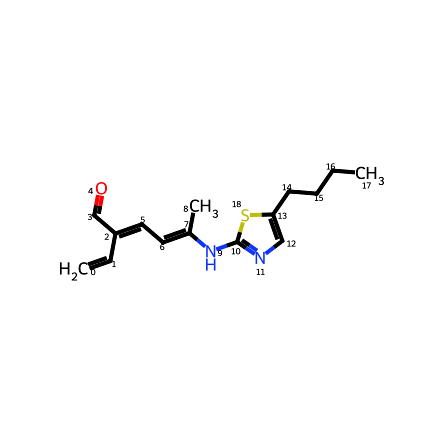 C=C/C(C=O)=C\C=C(/C)Nc1ncc(CCCC)s1